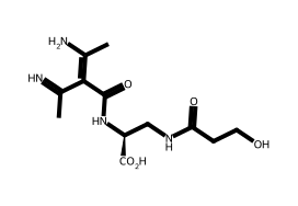 CC(=N)/C(C(=O)N[C@@H](CNC(=O)CCO)C(=O)O)=C(/C)N